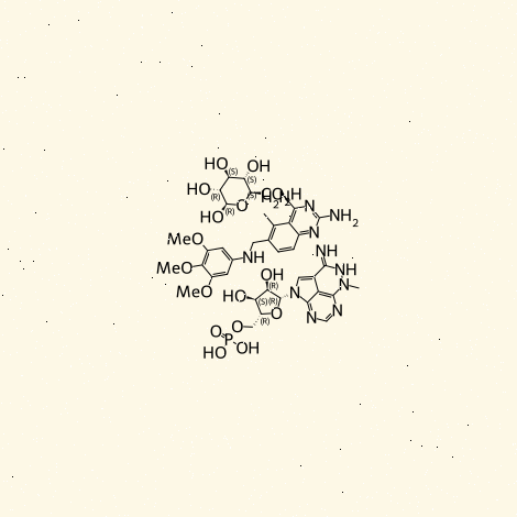 CN1NC(=N)c2cn([C@@H]3O[C@H](COP(=O)(O)O)[C@@H](O)[C@H]3O)c3ncnc1c23.COc1cc(NCc2ccc3nc(N)nc(N)c3c2C)cc(OC)c1OC.O=C(O)[C@H]1O[C@@H](O)[C@H](O)[C@@H](O)[C@@H]1O